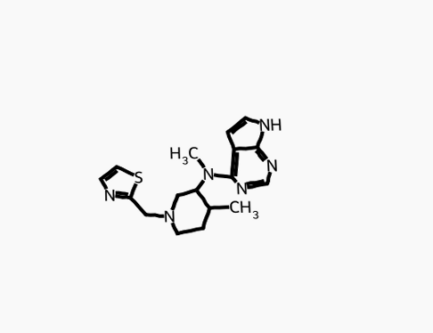 CC1CCN(Cc2nccs2)CC1N(C)c1ncnc2[nH]ccc12